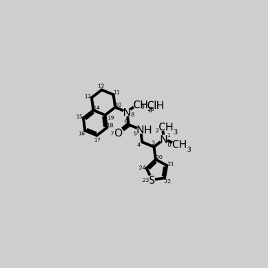 CN(C)C(CNC(=O)N(C)C1CCCc2ccccc21)c1ccsc1.Cl